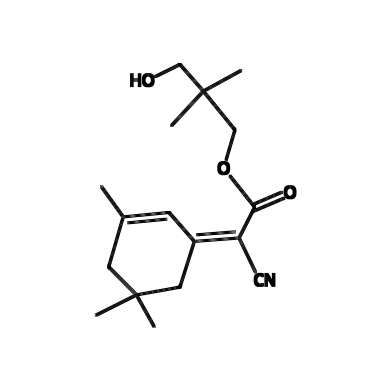 CC1=CC(=C(C#N)C(=O)OCC(C)(C)CO)CC(C)(C)C1